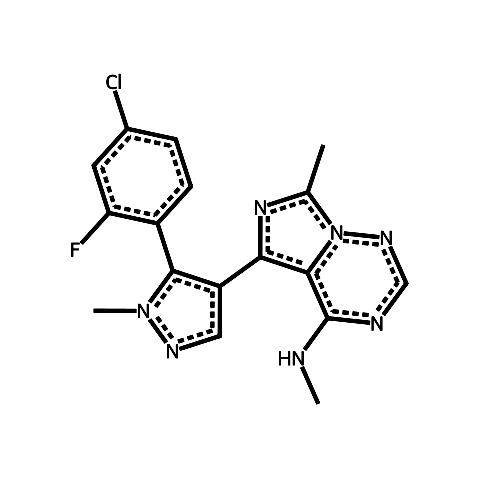 CNc1ncnn2c(C)nc(-c3cnn(C)c3-c3ccc(Cl)cc3F)c12